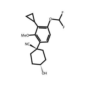 COc1c(C2CC2)c(OC(F)F)ccc1[C@]1(C#N)CC[C@H](O)CC1